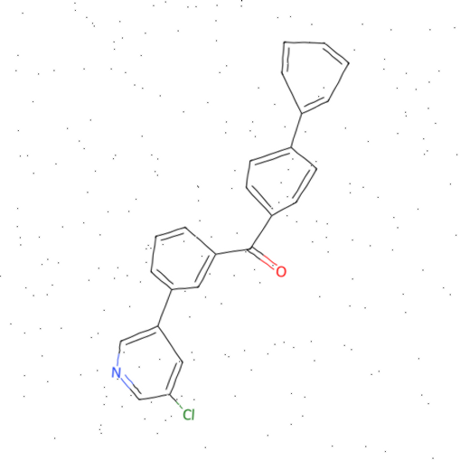 O=C(c1ccc(-c2ccccc2)cc1)c1cccc(-c2cncc(Cl)c2)c1